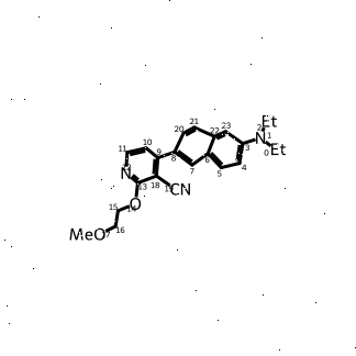 CCN(CC)c1ccc2cc(-c3ccnc(OCCOC)c3C#N)ccc2c1